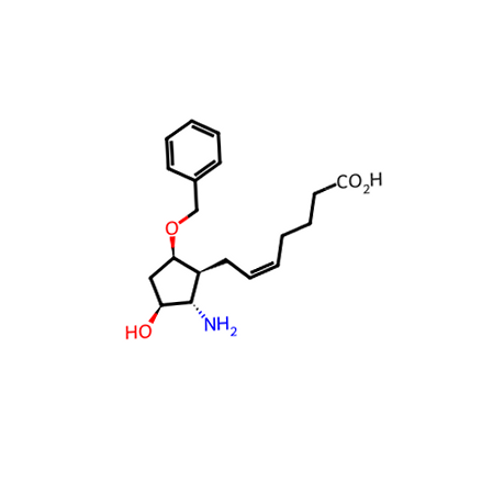 N[C@H]1[C@H](C/C=C\CCCC(=O)O)[C@H](OCc2ccccc2)C[C@@H]1O